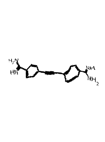 N=C(N)c1ccc(C#Cc2ccc(C(=N)N)cc2)cc1